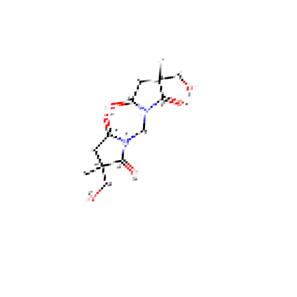 CC1(CO)CC(=O)N(CN2C(=O)CC(C)(CO)C2=O)C1=O